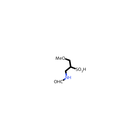 COCC(CNC=O)S(=O)(=O)O